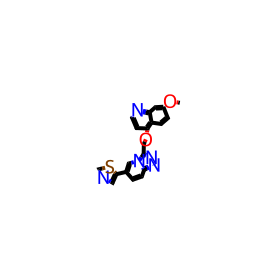 COc1ccc2c(OCc3nnc4ccc(-c5cncs5)cn34)ccnc2c1